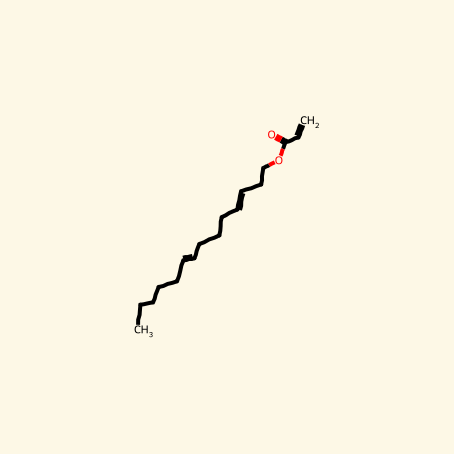 C=CC(=O)OCCC=CCCCC=CCCCCC